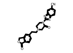 N#Cc1ccc2sc(N3CCN(CCc4ccc5c(c4)COC5=O)CC3=O)nc2c1